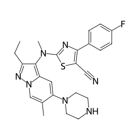 CCc1nn2cc(C)c(N3CCNCC3)cc2c1N(C)c1nc(-c2ccc(F)cc2)c(C#N)s1